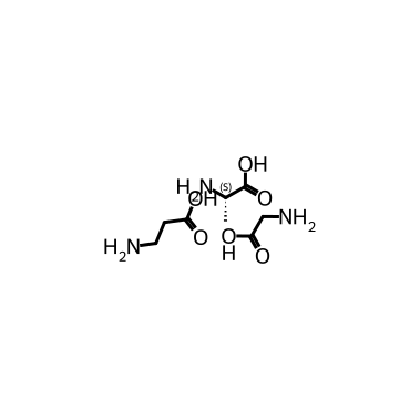 C[C@H](N)C(=O)O.NCC(=O)O.NCCC(=O)O